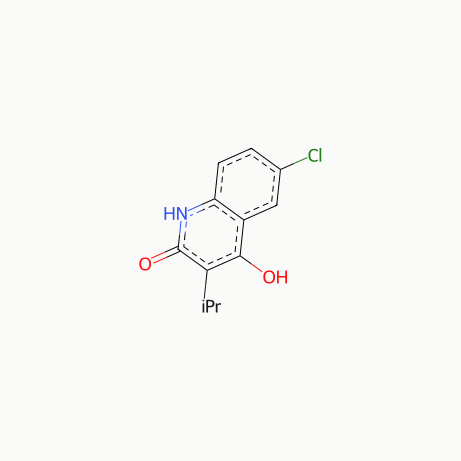 CC(C)c1c(O)c2cc(Cl)ccc2[nH]c1=O